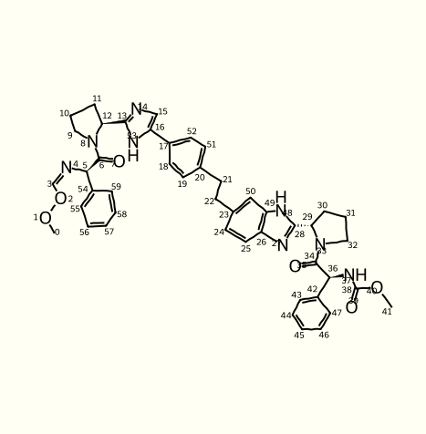 COO/C=N\[C@@H](C(=O)N1CCC[C@H]1c1ncc(-c2ccc(CCc3ccc4nc([C@@H]5CCCN5C(=O)[C@@H](NC(=O)OC)c5ccccc5)[nH]c4c3)cc2)[nH]1)c1ccccc1